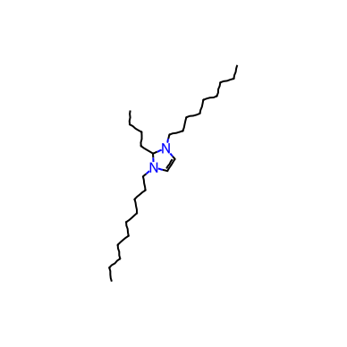 CCCCCCCCCCN1C=CN(CCCCCCCCC)C1CCCC